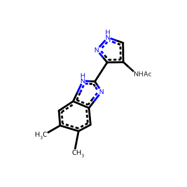 CC(=O)Nc1c[nH]nc1-c1nc2cc(C)c(C)cc2[nH]1